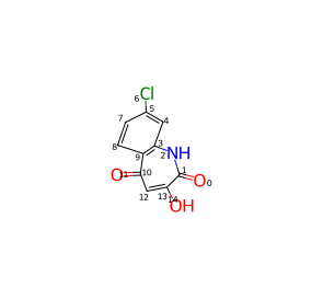 O=c1[nH]c2cc(Cl)ccc2c(=O)cc1O